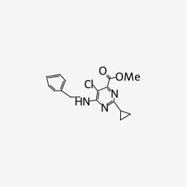 COC(=O)c1nc(C2CC2)nc(NCCc2ccccc2)c1Cl